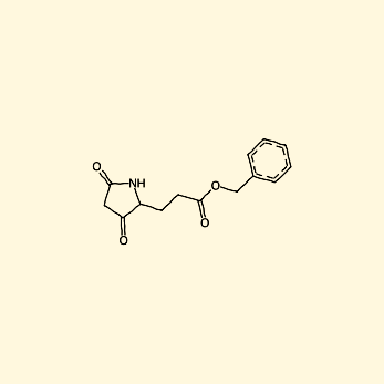 O=C1CC(=O)C(CCC(=O)OCc2ccccc2)N1